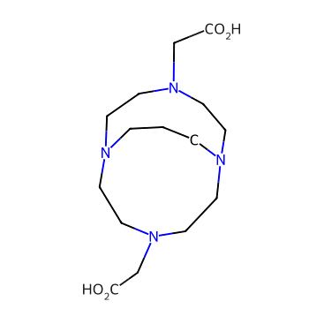 O=C(O)CN1CCN2CCCN(CC1)CCN(CC(=O)O)CC2